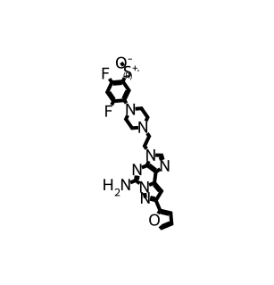 C[S@+]([O-])c1cc(N2CCN(CCn3cnc4c3nc(N)n3nc(-c5ccco5)cc43)CC2)c(F)cc1F